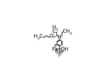 CCCCOC[C@@H](CC)N(CCC)c1ccc(C(O)(C(F)(F)F)C(F)(F)F)cc1